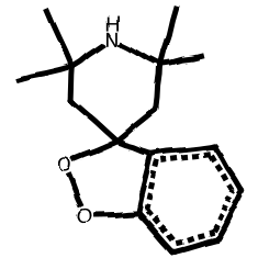 CC1(C)CC2(CC(C)(C)N1)OOc1ccccc12